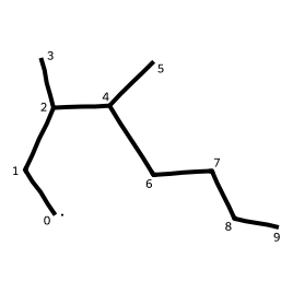 [CH2]CC(C)C(C)CCCC